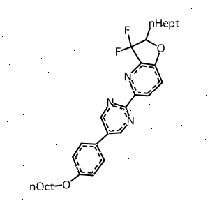 CCCCCCCCOc1ccc(-c2cnc(-c3ccc4c(n3)C(F)(F)C(CCCCCCC)O4)nc2)cc1